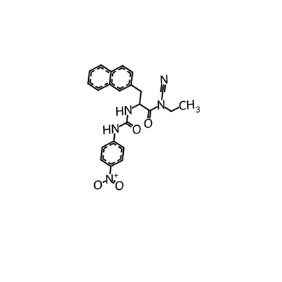 CCN(C#N)C(=O)C(Cc1ccc2ccccc2c1)NC(=O)Nc1ccc([N+](=O)[O-])cc1